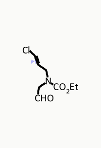 CCOC(=O)N(CC=O)C/C=C/Cl